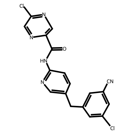 N#Cc1cc(Cl)cc(Cc2ccc(NC(=O)c3cnc(Cl)cn3)nc2)c1